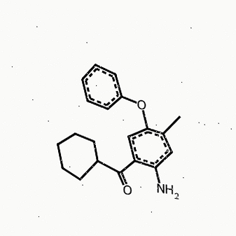 Cc1cc(N)c(C(=O)C2CCCCC2)cc1Oc1ccccc1